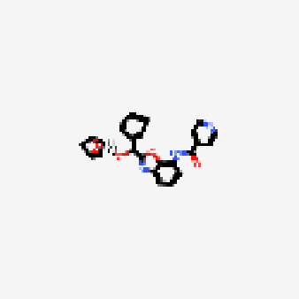 C1CC2CC1O2.COC(c1ccccc1)c1nc2cccc(NC(=O)c3ccncc3)c2o1